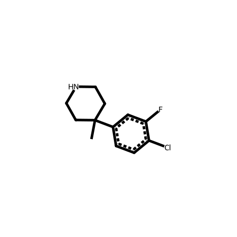 CC1(c2ccc(Cl)c(F)c2)CCNCC1